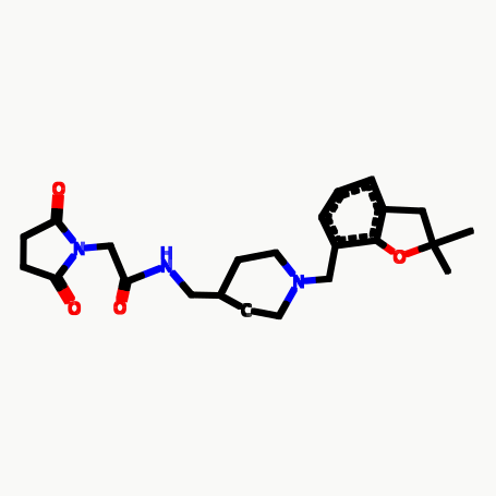 CC1(C)Cc2cccc(CN3CCC(CNC(=O)CN4C(=O)CCC4=O)CC3)c2O1